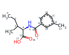 CCC(C)[C@@H](NC(=O)c1cccc(C)c1)C(=O)O